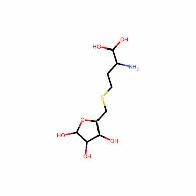 NC(CCSCC1OC(O)C(O)C1O)C(O)O